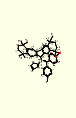 Cc1ccc([C](c2ccc(C)cc2)=[Zr]([C]2=CC=CC2)[CH]2c3cc4c(cc3-c3cc5c(cc32)C(C)(C)CCC5(C)C)C(C)(C)CCC4(C)C)cc1